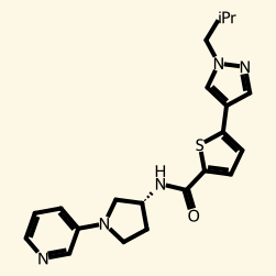 CC(C)Cn1cc(-c2ccc(C(=O)N[C@@H]3CCN(c4cccnc4)C3)s2)cn1